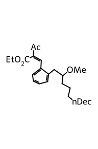 CCCCCCCCCCCCCC(Cc1ccccc1C=C(C(C)=O)C(=O)OCC)OC